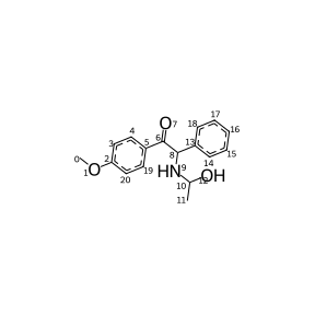 COc1ccc(C(=O)C(NC(C)O)c2ccccc2)cc1